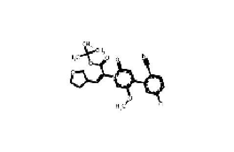 COc1cn(C(=CC2CCOC2)C(=O)OC(C)(C)C)c(=O)cc1-c1cc(Cl)ccc1C#N